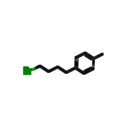 Cc1ccc(CCCCBr)cc1